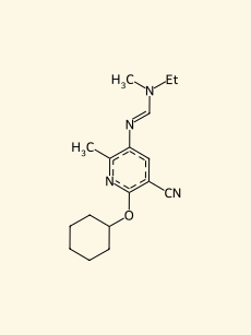 CCN(C)/C=N/c1cc(C#N)c(OC2CCCCC2)nc1C